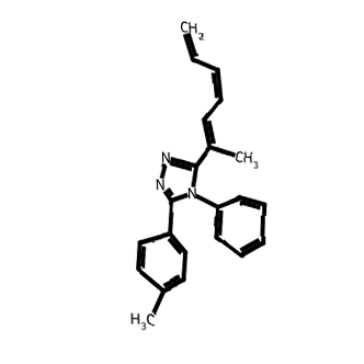 C=C/C=C\C=C(/C)c1nnc(-c2ccc(C)cc2)n1-c1ccccc1